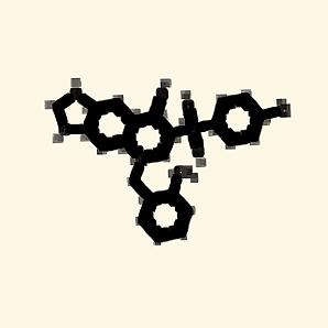 Cc1ccccc1Cn1cc(S(=O)(=O)c2ccc(Cl)cc2)c(=O)c2cc3c(cc21)OCO3